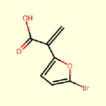 C=C(C(=O)O)c1ccc(Br)o1